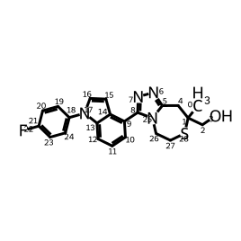 CC1(CO)Cc2nnc(-c3cccc4c3ccn4-c3ccc(F)cc3)n2CCS1